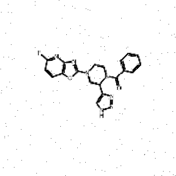 O=C(c1ccccc1)N1CCN(c2nc3nc(F)ccc3o2)CC1c1c[nH]nn1